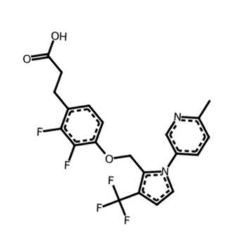 Cc1ccc(-n2ccc(C(F)(F)F)c2COc2ccc(CCC(=O)O)c(F)c2F)cn1